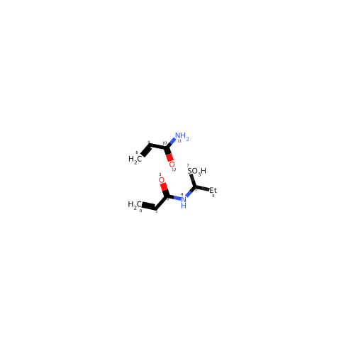 C=CC(=O)NC(CC)S(=O)(=O)O.C=CC(N)=O